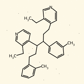 CCc1cnccc1CCC(c1cccc(C)c1)C(CCc1ccccc1C)c1ccncc1CC